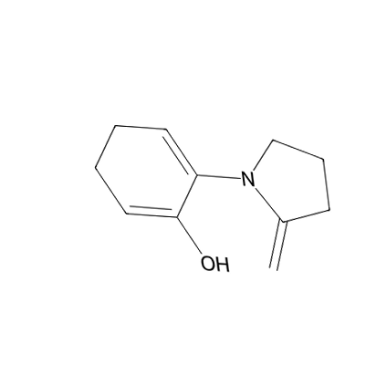 C=C1CCCN1C1=CCCC=C1O